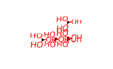 OC(O)O.OC(O)O.OC(O)O.OC(O)O